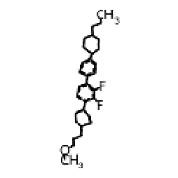 CCCC1CCC(c2ccc(-c3ccc(C4CCC(CCCOC)CC4)c(F)c3F)cc2)CC1